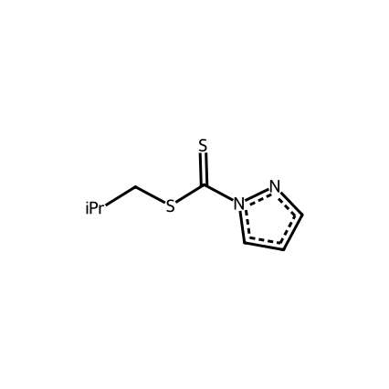 CC(C)CSC(=S)n1cccn1